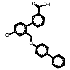 O=C(O)c1cccc(-c2ccc(Cl)cc2COc2ccc(-c3[c]cccc3)cc2)c1